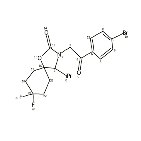 CC(C)C1N(CC(=O)c2ccc(Br)cc2)C(=O)OC12CCC(F)(F)CC2